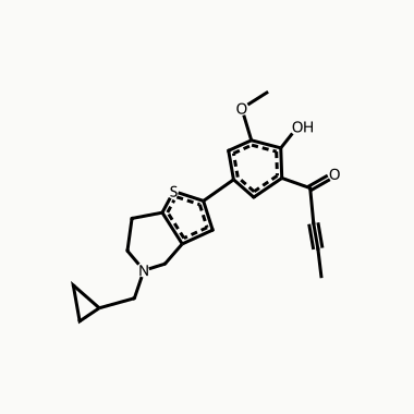 CC#CC(=O)c1cc(-c2cc3c(s2)CCN(CC2CC2)C3)cc(OC)c1O